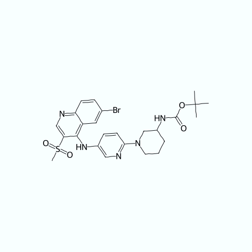 CC(C)(C)OC(=O)NC1CCCN(c2ccc(Nc3c(S(C)(=O)=O)cnc4ccc(Br)cc34)cn2)C1